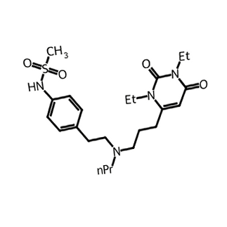 CCCN(CCCc1cc(=O)n(CC)c(=O)n1CC)CCc1ccc(NS(C)(=O)=O)cc1